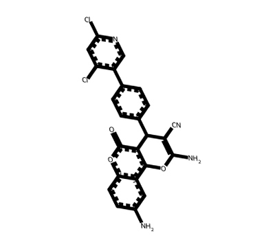 N#CC1=C(N)Oc2c(c(=O)oc3ccc(N)cc23)C1c1ccc(-c2cnc(Cl)cc2Cl)cc1